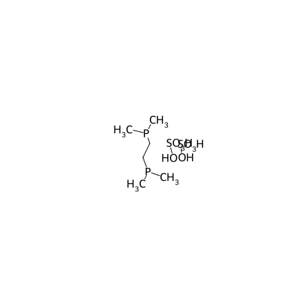 CP(C)CCP(C)C.O=S(=O)(O)O.O=S(=O)(O)O